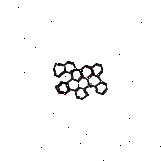 c1ccc(-c2ccccc2-c2c(-c3ccccc3)cccc2N(c2cccc(-c3ccc4ccccc4c3)c2)c2ccccc2-c2ccccc2)cc1